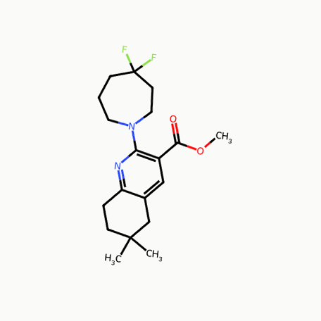 COC(=O)c1cc2c(nc1N1CCCC(F)(F)CC1)CCC(C)(C)C2